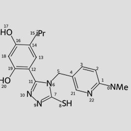 CNc1ccc(Cn2c(S)nnc2-c2cc(C(C)C)c(O)cc2O)cn1